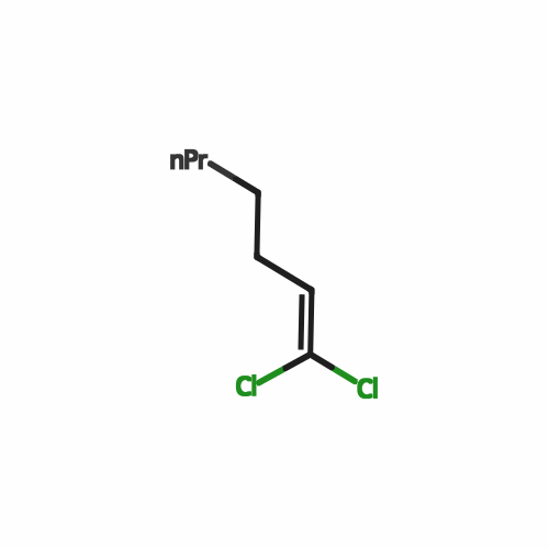 C[CH]CCCC=C(Cl)Cl